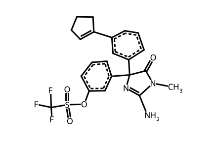 CN1C(=O)C(c2cccc(OS(=O)(=O)C(F)(F)F)c2)(c2cccc(C3=CCCC3)c2)N=C1N